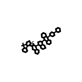 CC1(C)c2ccccc2-c2c1ccc1sc3c(-c4ccc(-c5c6ccccc6c(-c6ccc(-c7ccccc7)cc6)c6ccccc56)c5ccccc45)c4ccccc4cc3c21